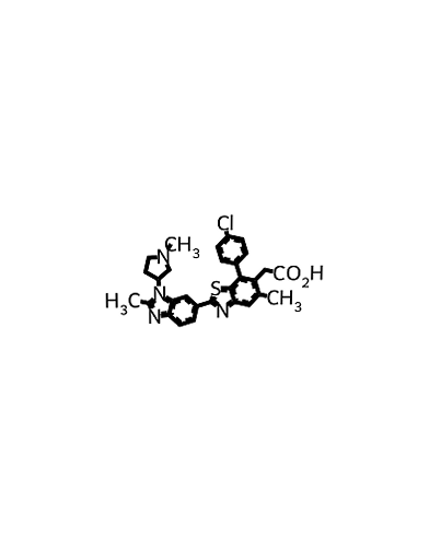 Cc1cc2nc(-c3ccc4nc(C)n(C5CCN(C)C5)c4c3)sc2c(-c2ccc(Cl)cc2)c1CC(=O)O